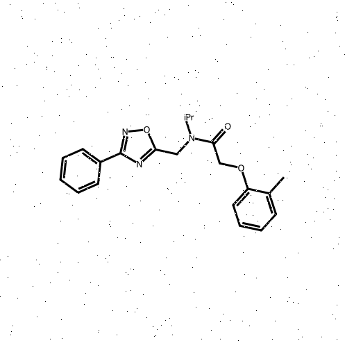 Cc1ccccc1OCC(=O)N(Cc1nc(-c2ccccc2)no1)C(C)C